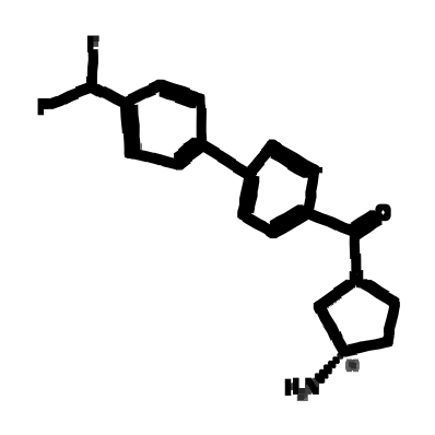 N[C@H]1CCN(C(=O)c2[c]cc(-c3ccc(C(F)F)cc3)cc2)C1